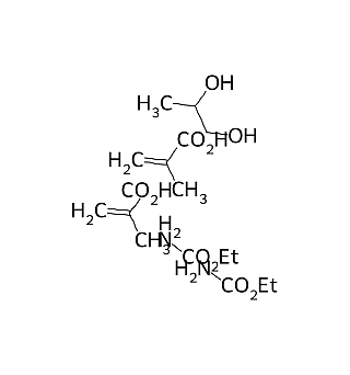 C=C(C)C(=O)O.C=C(C)C(=O)O.CC(O)CO.CCOC(N)=O.CCOC(N)=O